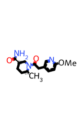 COc1ccc(CC(=O)N2C[C@H](C(N)=O)CC[C@@H]2C)cn1